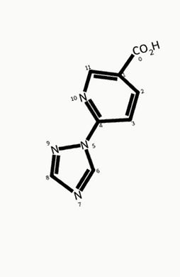 O=C(O)c1ccc(-n2cncn2)nc1